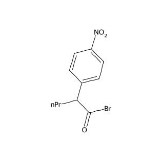 CCCC(C(=O)Br)c1ccc([N+](=O)[O-])cc1